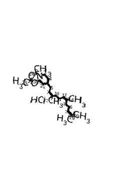 CCN1CCC(CC=C(C)CCC=C(C)CCC=C(C)C)CC1OC(C)=O.Cl